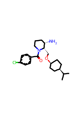 CC(C)[C@H]1CC[C@@H](OC[C@H]2[C@@H](N)CCCN2C(=O)c2ccc(Cl)cc2)CC1